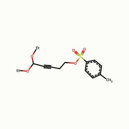 CCOC(C#CCCOS(=O)(=O)c1ccc(C)cc1)OCC